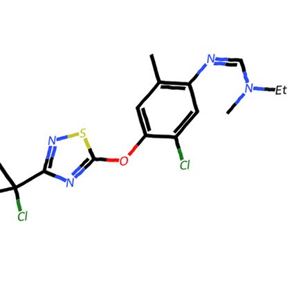 CCN(C)/C=N\c1cc(Cl)c(Oc2nc(C3(Cl)CC3)ns2)cc1C